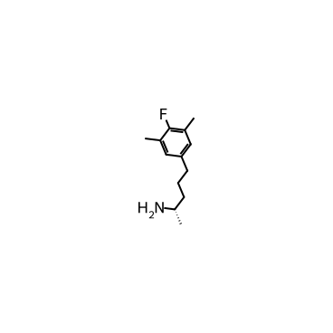 Cc1cc(CCC[C@H](C)N)cc(C)c1F